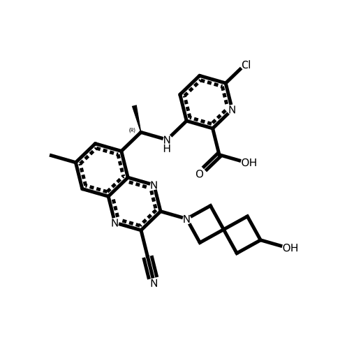 Cc1cc([C@@H](C)Nc2ccc(Cl)nc2C(=O)O)c2nc(N3CC4(CC(O)C4)C3)c(C#N)nc2c1